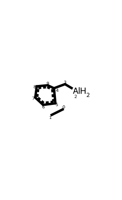 CC.[AlH2][CH2]c1ccccc1